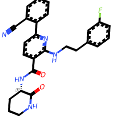 N#Cc1ccccc1-c1ccc(C(=O)N[C@H]2CCCNC2=O)c(NCCc2cccc(F)c2)n1